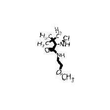 COCCNC(=O)[C@@H](NCl)C(C)(C)C